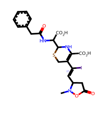 CN1OC(=O)CC1/C=C(\I)C1=C(C(=O)O)NC(C(NC(=O)Cc2ccccc2)C(=O)O)SC1